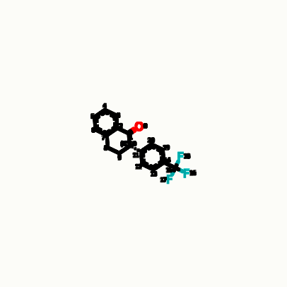 O=C1c2ccccc2CC[C@H]1c1ccc(C(F)(F)F)cc1